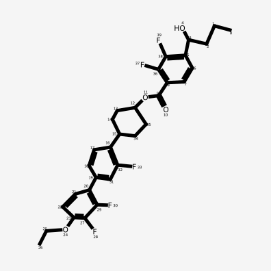 CCCC(O)c1ccc(C(=O)OC2CCC(c3ccc(-c4ccc(OCC)c(F)c4F)cc3F)CC2)c(F)c1F